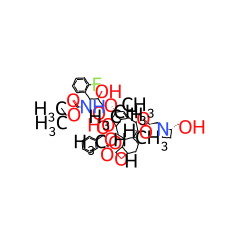 CC(=O)O[C@@]12CO[C@@H]1CC[C@@]1(C)[C@@H]3O[C@H](CN4CC[C@H]4CO)O[C@@H]3C3=C(C)[C@@H](OC(=O)[C@H](O)[C@@H](NC(=O)OC(C)C)c4ccccc4F)C[C@@](O)([C@@H](OC(=O)c4ccccc4)[C@@H]12)C3(C)C